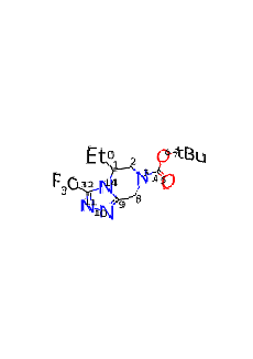 CCC1CN(C(=O)OC(C)(C)C)Cc2nnc(C(F)(F)F)n21